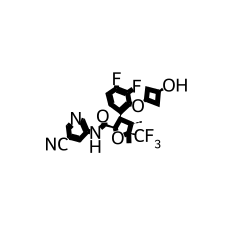 C[C@H]1[C@@H](c2ccc(F)c(F)c2O[C@H]2C[C@@H](O)C2)[C@H](C(=O)Nc2cncc(C#N)c2)O[C@@]1(C)C(F)(F)F